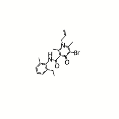 C=CCn1c(C)c(Br)c(=O)c(C(=O)Nc2c(C)cccc2CC)c1C